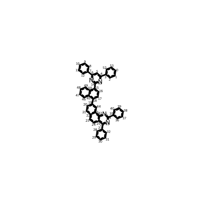 c1ccc(-c2cc(-c3ccccc3)nc(-c3ccc(-c4ccc5ccc6c(-c7ccccc7)nc(-c7ccccc7)nc6c5c4)c4ccccc34)n2)cc1